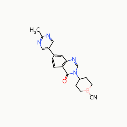 Cc1ncc(-c2ccc3c(=O)n(C4CCB(C#N)CC4)cnc3c2)cn1